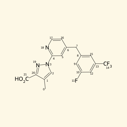 Cc1cn(-c2cc(Cc3cc(F)cc(C(F)(F)F)c3)ccn2)nc1C(=O)O